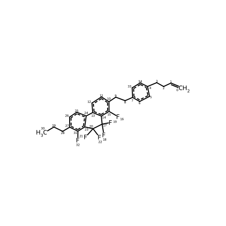 C=CCCc1ccc(CCc2ccc3c(c2F)C(F)(F)C(F)(F)c2c-3ccc(CCC)c2F)cc1